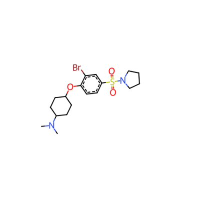 CN(C)C1CCC(Oc2ccc(S(=O)(=O)N3CCCC3)cc2Br)CC1